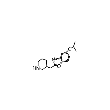 CC(C)Cc1ccc2oc(CC3CCCNC3)nc2c1